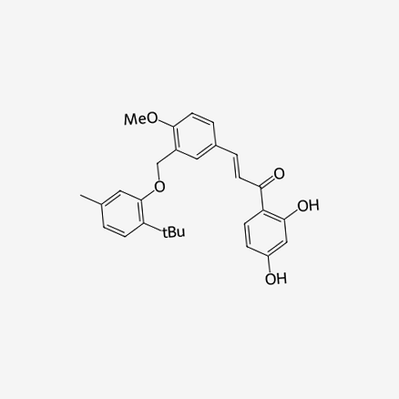 COc1ccc(/C=C/C(=O)c2ccc(O)cc2O)cc1COc1cc(C)ccc1C(C)(C)C